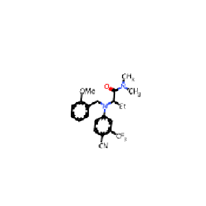 CCC(C(=O)N(C)C)N(Cc1ccccc1OC)c1ccc(C#N)c(C(F)(F)F)c1